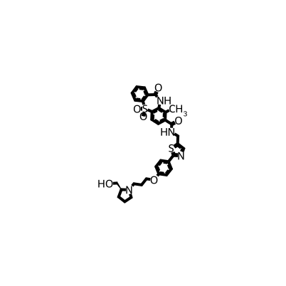 Cc1c(C(=O)NCc2cnc(-c3ccc(OCCCN4CCC[C@H]4CO)cc3)s2)ccc2c1NC(=O)c1ccccc1S2(=O)=O